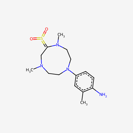 Cc1cc(N2CCN(C)CC(=S(=O)=O)N(C)CC2)ccc1N